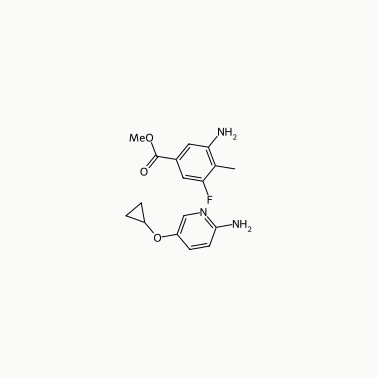 COC(=O)c1cc(N)c(C)c(F)c1.Nc1ccc(OC2CC2)cn1